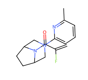 C=C(F)C(=O)N1C2CCC1CN(c1cccc(C)n1)C2